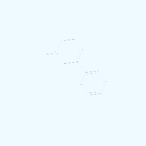 O=C(O)N1CCC=C(c2ccc(O)cc2)C1